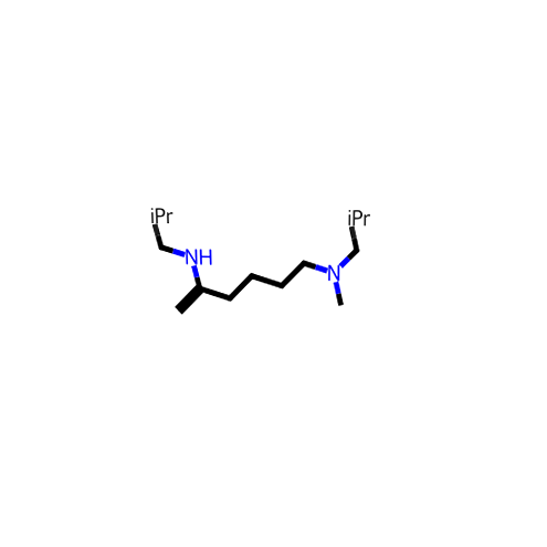 C=C(CCCCN(C)CC(C)C)NCC(C)C